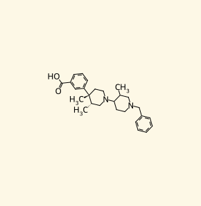 CC1CN(Cc2ccccc2)CCC1N1CC[C@@](C)(c2cccc(C(=O)O)c2)[C@@H](C)C1